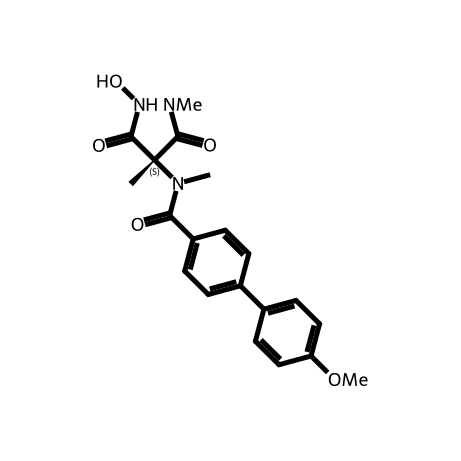 CNC(=O)[C@@](C)(C(=O)NO)N(C)C(=O)c1ccc(-c2ccc(OC)cc2)cc1